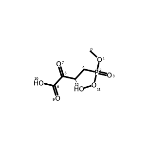 COP(=O)(CCC(=O)C(=O)O)OO